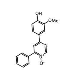 COc1cc(-c2cc(-c3ccccc3)[n+]([O-])cn2)ccc1O